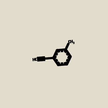 C#Cc1[c]c(C)ccc1